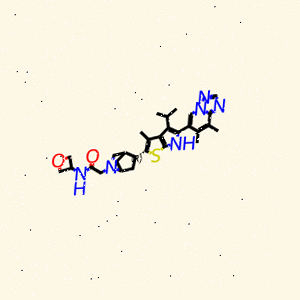 Cc1c(-c2[nH]c3sc([C@@H]4CC5CC4CN5CC(=O)NC4COC4)c(C)c3c2C(C)C)cn2ncnc2c1C